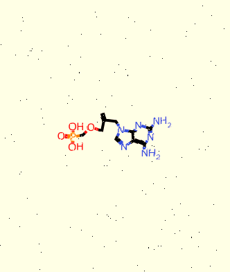 C=C(COCP(=O)(O)O)Cn1cnc2c(N)nc(N)nc21